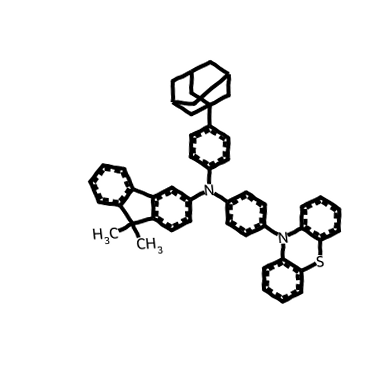 CC1(C)c2ccccc2-c2cc(N(c3ccc(N4c5ccccc5Sc5ccccc54)cc3)c3ccc(C45CC6CC(CC(C6)C4)C5)cc3)ccc21